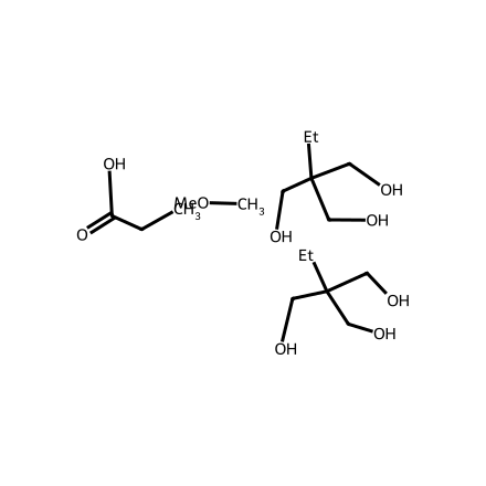 CCC(=O)O.CCC(CO)(CO)CO.CCC(CO)(CO)CO.COC